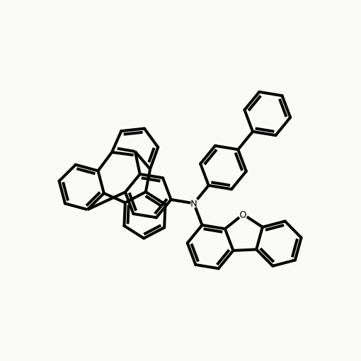 c1ccc(-c2ccc(N(c3ccc4c(c3)-c3c5cccc3-c3cccc-4c3-c3ccccc3-5)c3cccc4c3oc3ccccc34)cc2)cc1